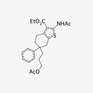 CCOC(=O)c1c(NC(C)=O)sc2c1CCC(CCCOC(C)=O)(c1ccccc1)C2